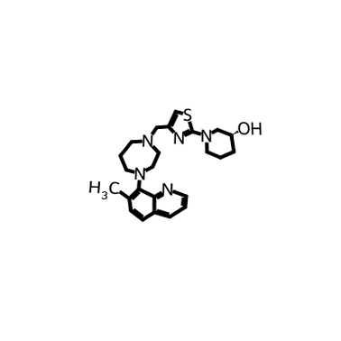 Cc1ccc2cccnc2c1N1CCCN(Cc2csc(N3CCC[C@@H](O)C3)n2)CC1